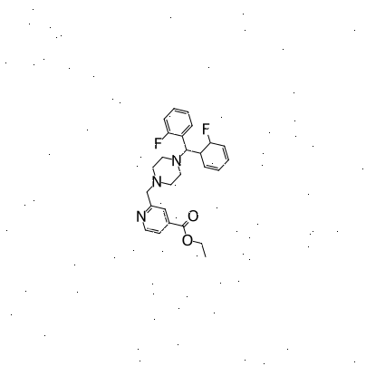 CCOC(=O)c1ccnc(CN2CCN(C(c3ccccc3F)C3C=CC=CC3F)CC2)c1